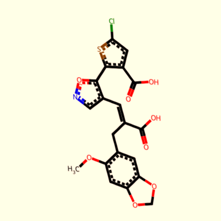 COc1cc2c(cc1C/C(=C\c1cnoc1-c1sc(Cl)cc1C(=O)O)C(=O)O)OCO2